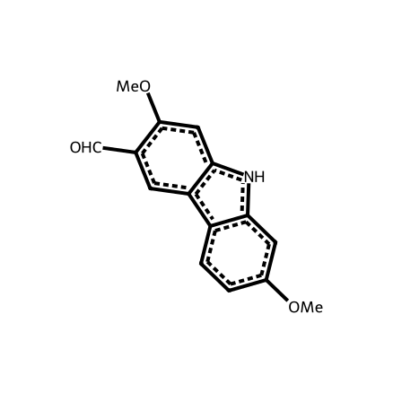 COc1ccc2c(c1)[nH]c1cc(OC)c(C=O)cc12